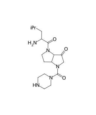 CC(C)CC(N)C(=O)N1CCC2C1C(=O)CN2C(=O)N1CCNCC1